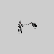 C[C@@H]1C[C@@H](O)c2ncnc(N3CCN(C(=O)C(CNC(=O)CCCCCCCCCCc4cccc5c4CN(C4CCC(=O)NC4=O)C5=O)c4ccc(Cl)cc4)CC3)c21